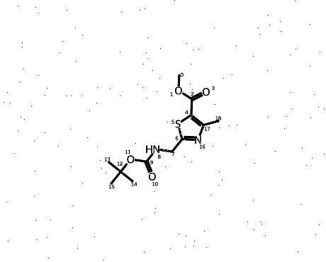 COC(=O)c1sc(CNC(=O)OC(C)(C)C)nc1C